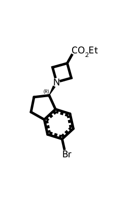 CCOC(=O)C1CN([C@@H]2CCc3cc(Br)ccc32)C1